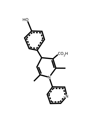 CC1=CC(c2ccc(O)cc2)C(C(=O)O)=C(C)N1c1cccnc1